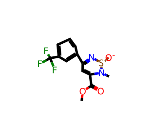 COC(=O)C1=CC(c2cccc(C(F)(F)F)c2)=N[S+]([O-])N1C